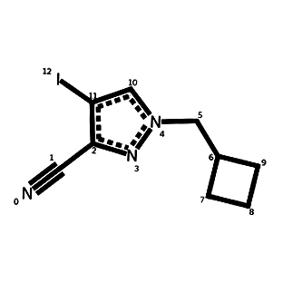 N#Cc1nn(CC2CCC2)cc1I